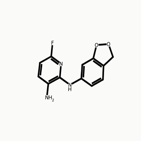 Nc1ccc(F)nc1Nc1ccc2c(c1)OOC2